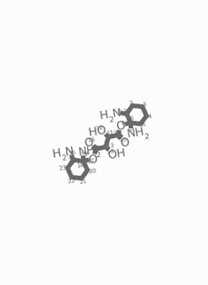 NC1CCCCC1(N)OC(=O)C(O)C(O)C(=O)OC1(N)CCCCC1N